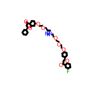 O=c1cc(-c2ccccc2)oc2cc(OCCOCc3cn(CCOCCOCCOc4ccc(-c5cc(=O)c6cc(F)ccc6o5)cc4)nn3)ccc12